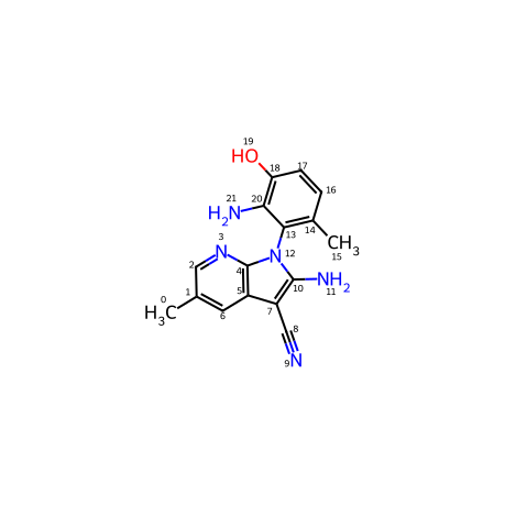 Cc1cnc2c(c1)c(C#N)c(N)n2-c1c(C)ccc(O)c1N